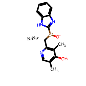 Cc1cnc(C[S+]([O-])c2nc3ccccc3[nH]2)c(C)c1O.[Na].[Na]